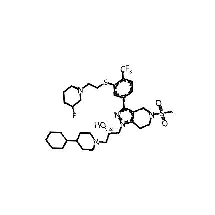 CS(=O)(=O)N1CCc2c(c(-c3ccc(C(F)(F)F)c(SCCN4CCCC(F)C4)c3)nn2C[C@@H](O)CN2CCC(C3CCCCC3)CC2)C1